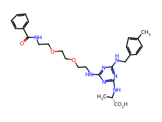 Cc1ccc(CNc2nc(NCCOCCOCCNC(=O)c3ccccc3)nc(N[C@@H](C)C(=O)O)n2)cc1